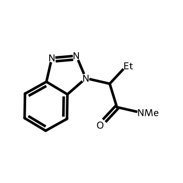 CCC(C(=O)NC)n1nnc2ccccc21